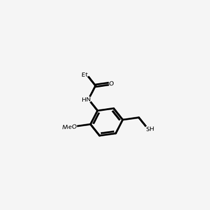 CCC(=O)Nc1cc(CS)ccc1OC